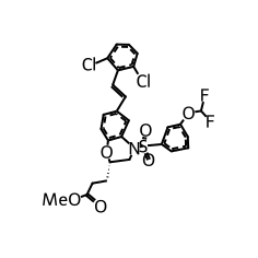 COC(=O)CC[C@H]1CN(S(=O)(=O)c2cccc(OC(F)F)c2)c2cc(/C=C/c3c(Cl)cccc3Cl)ccc2O1